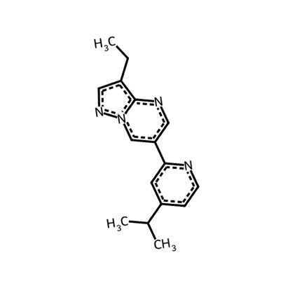 CCc1cnn2cc(-c3cc(C(C)C)ccn3)cnc12